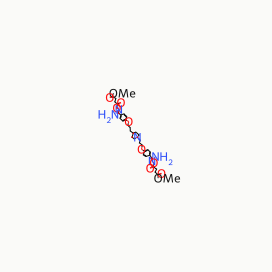 COC(=O)CCC(=O)O/N=C(\N)c1ccc(OCCCC2CCN(CCCOc3ccc(/C(N)=N/OC(=O)CCC(=O)OC)cc3)CC2)cc1